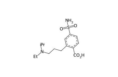 CCN(CCCc1cc(S(N)(=O)=O)ccc1C(=O)O)C(C)C